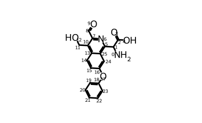 NC(C(=O)O)c1nc(C=O)c(CO)c2ccc(Oc3ccccc3)cc12